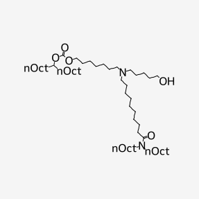 CCCCCCCCC(CCCCCCCC)OC(=O)OCCCCCCCN(CCCCCO)CCCCCCCCCC(=O)N(CCCCCCCC)CCCCCCCC